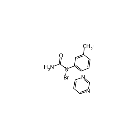 [CH2]c1cccc(N(Br)C(N)=O)c1.c1cncnc1